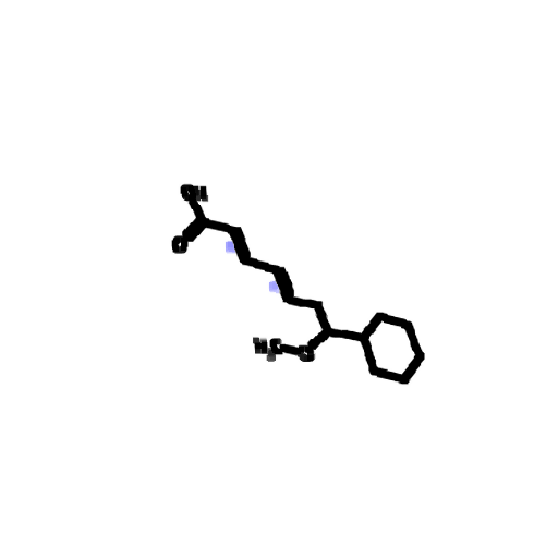 COC(C/C=C/C=C/C(=O)O)C1CCCCC1